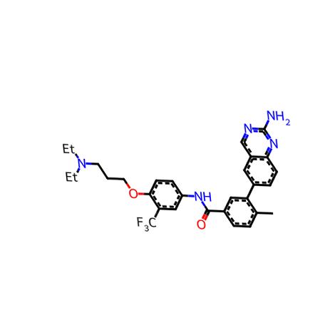 CCN(CC)CCCOc1ccc(NC(=O)c2ccc(C)c(-c3ccc4nc(N)ncc4c3)c2)cc1C(F)(F)F